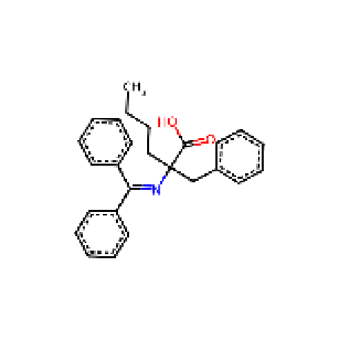 CCCCC(Cc1ccccc1)(N=C(c1ccccc1)c1ccccc1)C(=O)O